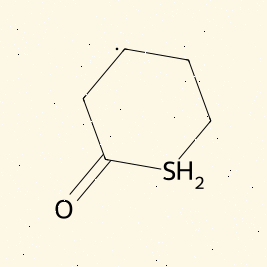 O=C1C[CH]CC[SH2]1